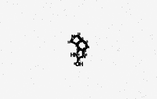 OC1N=c2ccc3c(c2N1)C=NC=3